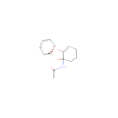 COC1=C[CH]C=CC1(NC(C)=O)Oc1ccccc1